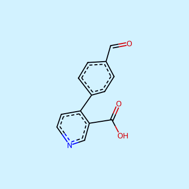 O=Cc1ccc(-c2ccncc2C(=O)O)cc1